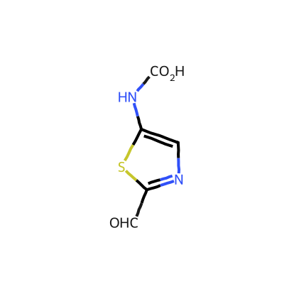 O=Cc1ncc(NC(=O)O)s1